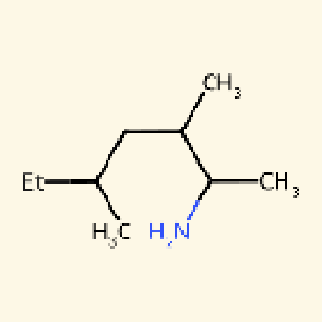 CCC(C)CC(C)C(C)N